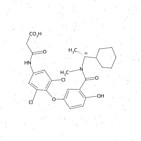 C[C@H](C1CCCCC1)N(C)C(=O)c1cc(Oc2c(Cl)cc(NC(=O)CC(=O)O)cc2Cl)ccc1O